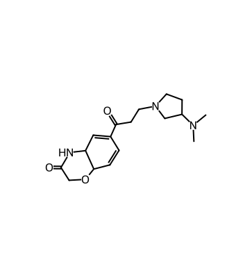 CN(C)C1CCN(CCC(=O)C2=CC3NC(=O)COC3C=C2)C1